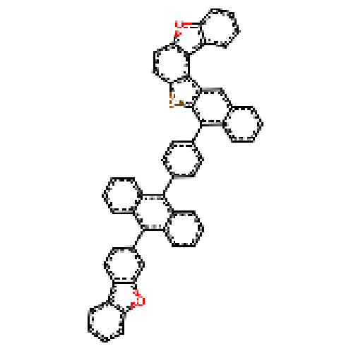 c1ccc2c(-c3ccc(-c4c5ccccc5c(-c5ccc6c(c5)oc5ccccc56)c5ccccc45)cc3)c3sc4ccc5oc6ccccc6c5c4c3cc2c1